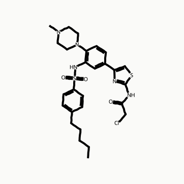 CCCCCc1ccc(S(=O)(=O)Nc2cc(-c3csc(NC(=O)CCl)n3)ccc2N2CCN(C)CC2)cc1